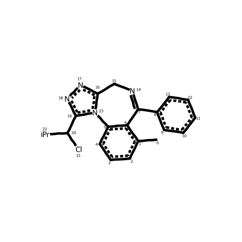 Cc1cccc2c1C(c1ccccc1)=NCc1nnc(C(Cl)C(C)C)n1-2